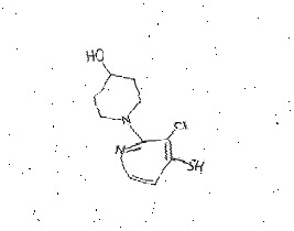 OC1CCN(c2nccc(S)c2Cl)CC1